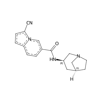 N#Cc1ccc2ccc(C(=O)N[C@@H]3C[C@@H]4CCN(C4)C3)cn12